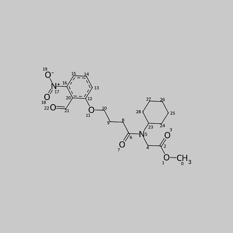 COC(=O)CN(C(=O)CCCOc1cccc([N+](=O)[O-])c1C=O)C1CCCCC1